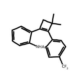 CC(=O)Nc1ccccc1C1=C(c2ccc(C(F)(F)F)cc2)C(C)(C)C1